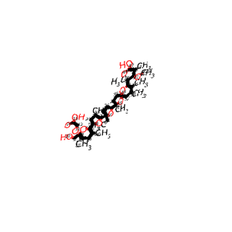 CCC1(C2OC(C3OC(CO)(OCC(=O)O)C(C)CC3C)CC2C)CCC(C2(C)CCC3(CC(C)C(C)C(C(C)C(OC)C(C)C(=O)O)O3)O2)O1